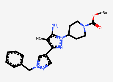 CC(C)(C)OC(=O)N1CCC(n2nc(-c3cnn(Cc4ccccc4)c3)c(C#N)c2N)CC1